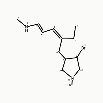 CC/C(=C/C=C/NC)CC1CN(C)CC1Br